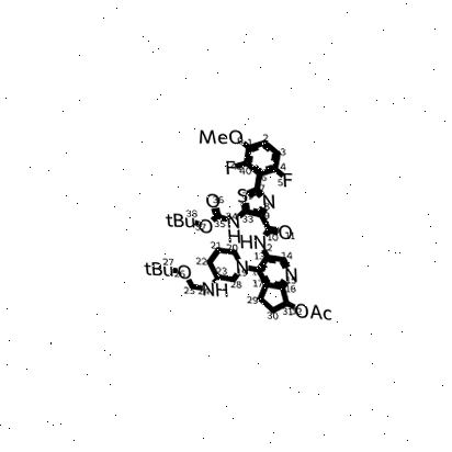 COc1ccc(F)c(-c2nc(C(=O)Nc3cnc4c(c3N3CCC[C@H](NCOC(C)(C)C)C3)CCC4OC(C)=O)c(NC(=O)OC(C)(C)C)s2)c1F